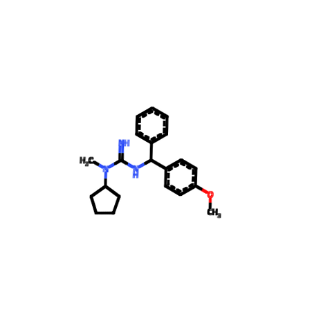 COc1ccc(C(NC(=N)N(C)C2CCCC2)c2ccccc2)cc1